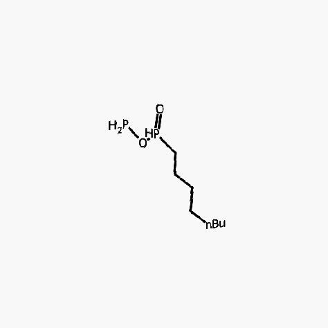 CCCCCCCC[PH](=O)OP